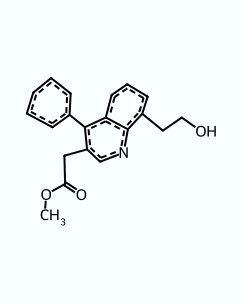 COC(=O)Cc1cnc2c(CCO)cccc2c1-c1ccccc1